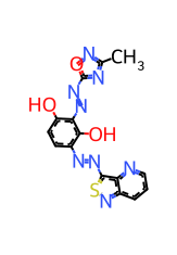 Cc1noc(/N=N/c2c(O)ccc(/N=N/c3snc4cccnc34)c2O)n1